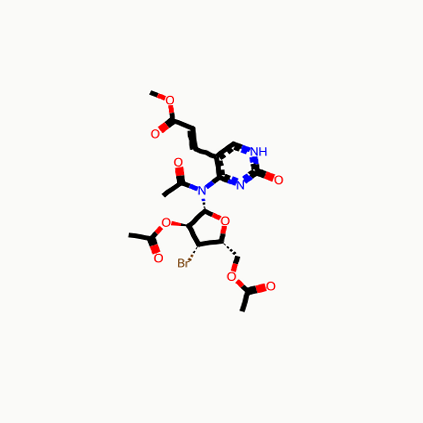 COC(=O)C=Cc1c[nH]c(=O)nc1N(C(C)=O)[C@@H]1O[C@H](COC(C)=O)[C@H](Br)[C@H]1OC(C)=O